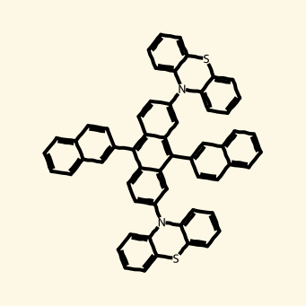 c1ccc2c(c1)Sc1ccccc1N2c1ccc2c(-c3ccc4ccccc4c3)c3ccc(N4c5ccccc5Sc5ccccc54)cc3c(-c3ccc4ccccc4c3)c2c1